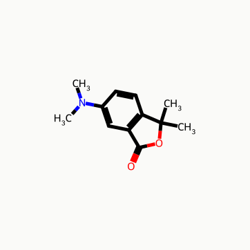 CN(C)c1ccc2c(c1)C(=O)OC2(C)C